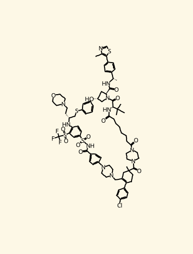 Cc1ncsc1-c1ccc([C@H](C)NC(=O)[C@@H]2C[C@@H](O)CN2C(=O)[C@@H](NC(=O)CCCCCCC(=O)N2CCN(C(=O)C3(C)CCC(c4ccc(Cl)cc4)=C(CN4CCN(c5ccc(C(=O)NS(=O)(=O)c6ccc(N[C@H](CCN7CCOCC7)CSc7ccccc7)c(S(=O)(=O)C(F)(F)F)c6)cc5)CC4)C3)CC2)C(C)(C)C)cc1